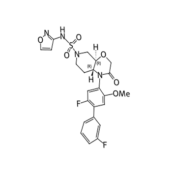 COc1cc(-c2cccc(F)c2)c(F)cc1N1C(=O)CO[C@@H]2CN(S(=O)(=O)Nc3ccon3)CC[C@H]21